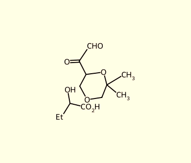 CC1(C)COCC(C(=O)C=O)O1.CCC(O)C(=O)O